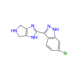 Brc1ccc2c(-c3nc4c([nH]3)CNC4)n[nH]c2c1